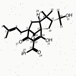 CC(C)=CCC12C[C@@H]3C(C)(C)[C@H](C(C)(C)O)C[C@@]3(C1=O)C(O)=C(C(=O)C(C)C)C2=O